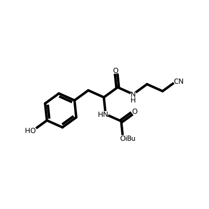 CC(C)COC(=O)NC(Cc1ccc(O)cc1)C(=O)NCCC#N